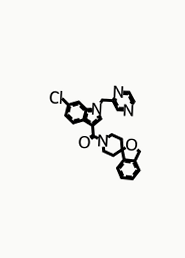 O=C(c1cn(Cc2cnccn2)c2cc(Cl)ccc12)N1CCC2(CC1)OCc1ccccc12